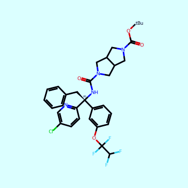 CC(C)(C)OC(=O)N1CC2CN(C(=O)N[C@](Cc3ccccc3)(c3cccc(OC(F)(F)C(F)F)c3)c3ccc(Cl)cn3)CC2C1